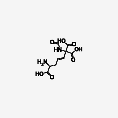 NC(C/C=C/C(NC=O)(C(=O)O)C(=O)O)C(=O)O